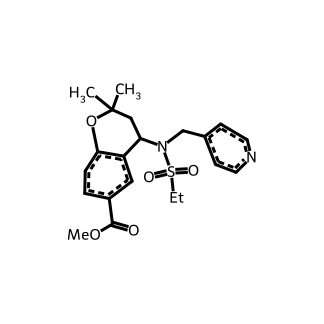 CCS(=O)(=O)N(Cc1ccncc1)C1CC(C)(C)Oc2ccc(C(=O)OC)cc21